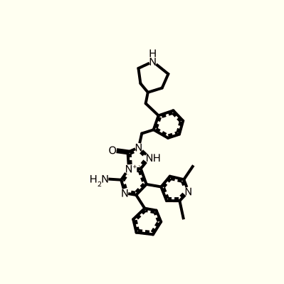 Cc1cc(-c2c(-c3ccccc3)nc(N)[n+]3c(=O)n(Cc4ccccc4CC4CCNCC4)[nH]c23)cc(C)n1